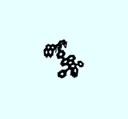 c1ccc(-c2c3c(c(-c4ccccc4)c4ccccc24)-c2ccc(-c4ccc(-n5c6ncccc6c6cc7ccc8cccc9ccc(c7c89)c65)cc4)c4cccc-3c24)cc1